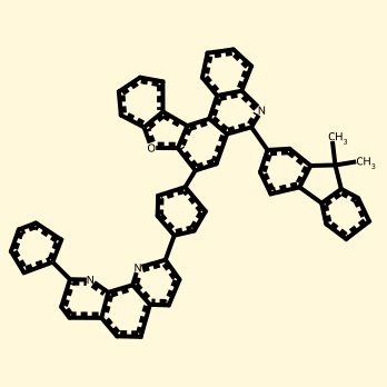 CC1(C)c2ccccc2-c2ccc(-c3nc4ccccc4c4c3cc(-c3ccc(-c5ccc6ccc7ccc(-c8ccccc8)nc7c6n5)cc3)c3oc5ccccc5c34)cc21